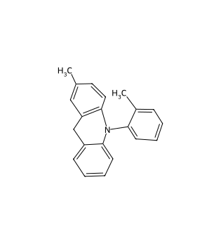 Cc1ccc2c(c1)Cc1ccccc1N2c1ccccc1C